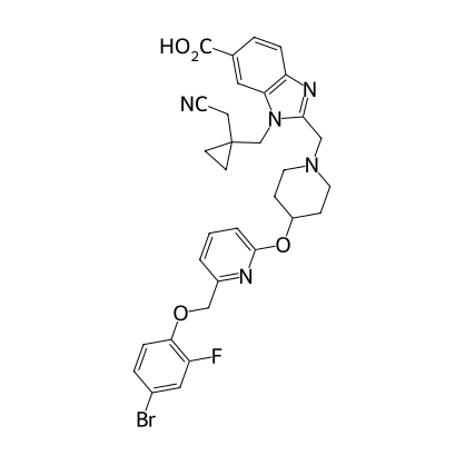 N#CCC1(Cn2c(CN3CCC(Oc4cccc(COc5ccc(Br)cc5F)n4)CC3)nc3ccc(C(=O)O)cc32)CC1